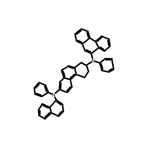 c1ccc(N(c2ccc3c4c(ccc3c2)CC(N(c2ccccc2)c2cc3ccccc3c3ccccc23)CC4)c2cccc3ccccc23)cc1